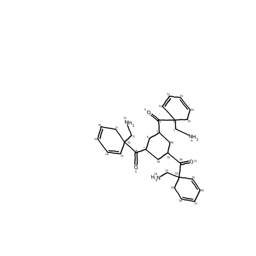 NCC1(C(=O)C2CC(C(=O)C3(CN)C=CC=CC3)CC(C(=O)C3(CN)C=CC=CC3)C2)C=CC=CC1